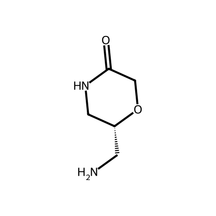 NC[C@@H]1CNC(=O)CO1